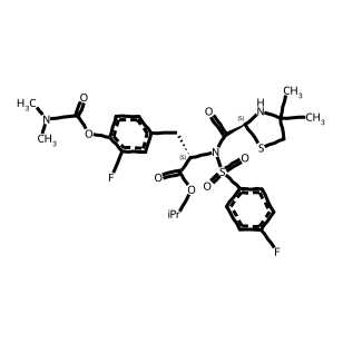 CC(C)OC(=O)[C@H](Cc1ccc(OC(=O)N(C)C)c(F)c1)N(C(=O)[C@H]1NC(C)(C)CS1)S(=O)(=O)c1ccc(F)cc1